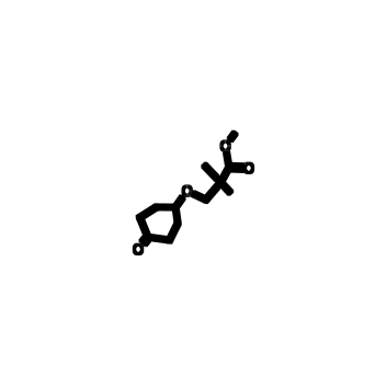 COC(=O)C(C)(C)COC1CCC(=O)CC1